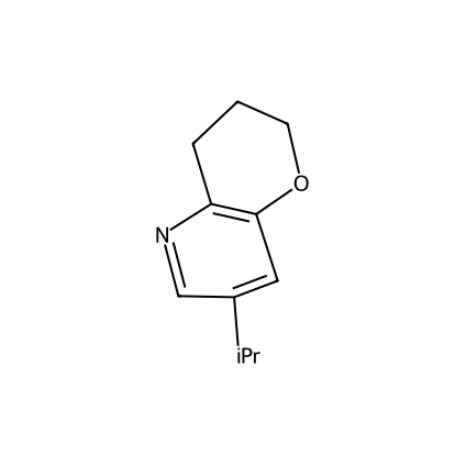 CC(C)c1cnc2c(c1)OCCC2